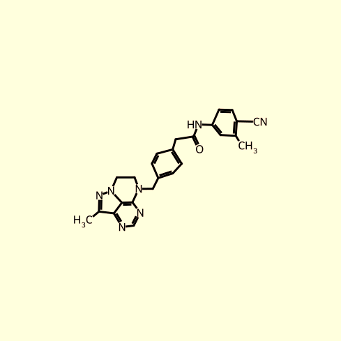 Cc1cc(NC(=O)Cc2ccc(CN3CCn4nc(C)c5ncnc3c54)cc2)ccc1C#N